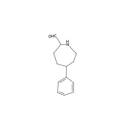 O=CC1CCC(c2ccccc2)CCN1